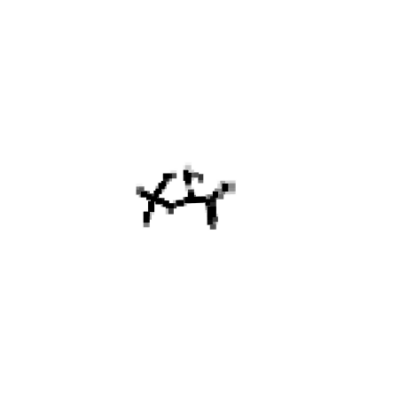 CC(F)(F)CC(N)C(=O)O